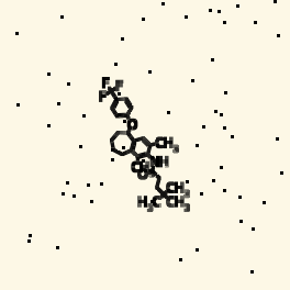 Cc1cc2c(c(C)c1NC(=O)CCC(C)(C)C)CCCCC2Oc1ccc(C(F)(F)F)cc1